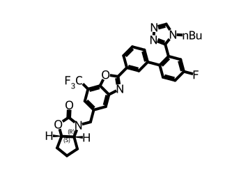 CCCCn1cnnc1-c1cc(F)ccc1-c1cccc(-c2nc3cc(CN4C(=O)O[C@H]5CCC[C@H]54)cc(C(F)(F)F)c3o2)c1